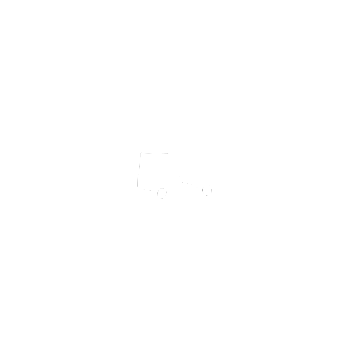 [O]C1CCCO1